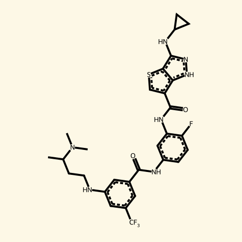 CC(CCNc1cc(C(=O)Nc2ccc(F)c(NC(=O)c3csc4c(NC5CC5)n[nH]c34)c2)cc(C(F)(F)F)c1)N(C)C